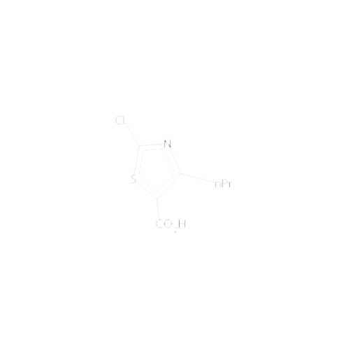 CCCc1nc(Cl)sc1C(=O)O